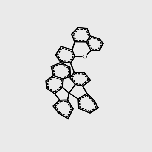 c1ccc2c(c1)-c1ccc(-c3cccc4c3Oc3cccc5cccc-4c35)cc1C21c2ccccc2-c2ccc3ccccc3c21